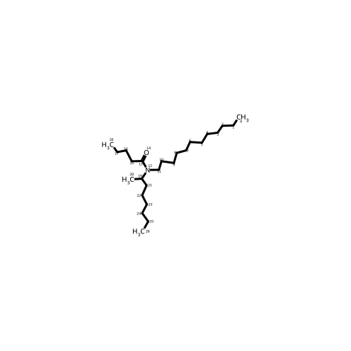 CCCCCCCCCCCCN(C(=O)CCCC)C(C)CCCCCC